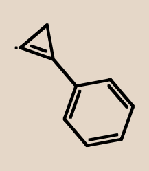 [C]1=C(c2ccccc2)C1